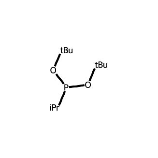 CC(C)P(OC(C)(C)C)OC(C)(C)C